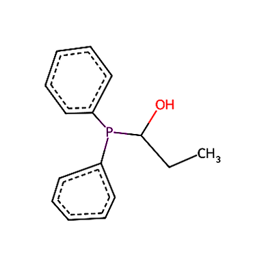 CCC(O)P(c1ccccc1)c1ccccc1